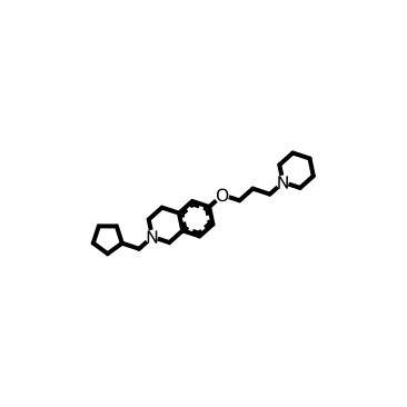 c1cc2c(cc1OCCCN1CCCCC1)CCN(CC1CCCC1)C2